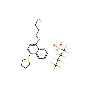 CCCCOc1ccc([S+]2CCCC2)c2ccccc12.O=S(=O)([O-])C(F)(F)C(F)(F)C(F)(F)C(F)(F)F